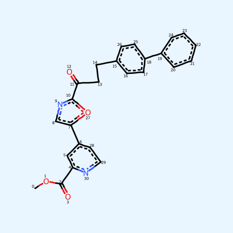 COC(=O)c1cc(-c2cnc(C(=O)CCc3ccc(-c4ccccc4)cc3)o2)ccn1